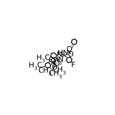 CC(C)c1cc(C(C)C)c(S(=O)(=O)Oc2nc([C@H](NC(=O)OCc3ccccc3)c3ccc(F)cc3)nc3ccccc23)c(C(C)C)c1